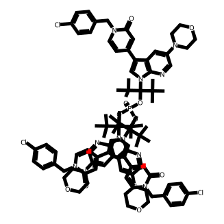 CC(C)(C)C(OP(=O)(OC(n1cc(-c2ccn(Cc3ccc(Cl)cc3)c(=O)c2)c2cc(N3CCOCC3)cnc21)(C(C)(C)C)C(C)(C)C)OC(n1cc(-c2ccn(Cc3ccc(Cl)cc3)c(=O)c2)c2cc(N3CCOCC3)cnc21)(C(C)(C)C)C(C)(C)C)(n1cc(-c2ccn(Cc3ccc(Cl)cc3)c(=O)c2)c2cc(N3CCOCC3)cnc21)C(C)(C)C